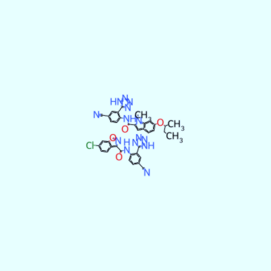 CCC(C)Oc1ccc2cc(C(=O)Nc3ccc(C#N)cc3-c3nnn[nH]3)n(C)c2c1.N#Cc1ccc(NC(=O)c2noc3cc(Cl)ccc23)c(-c2nnn[nH]2)c1